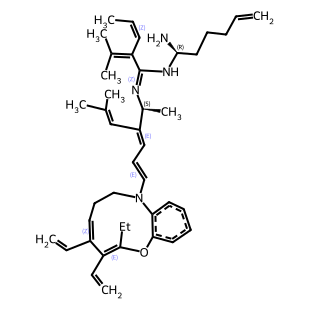 C=CCCC[C@H](N)N/C(=N\[C@@H](C)/C(C=C(C)C)=C/C=C/N1CC/C=C(C=C)\C(C=C)=C(/CC)Oc2ccccc21)C(/C=C\C)=C(C)C